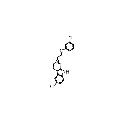 Clc1cccc(OCCN2CCc3c([nH]c4ccc(Cl)cc34)C2)c1